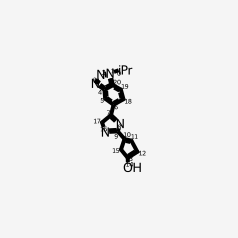 CC(C)n1nnc2cc(C3=NC(C4=CC=C(O)C4)=NC3)ccc21